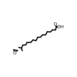 C1CO1.CC(C)CCCCCCCCCCCCCCC(=O)O